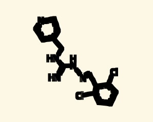 N=C(NCc1ccncc1)NN=Cc1c(Cl)cccc1Cl